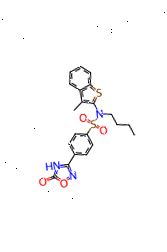 CCCCN(c1sc2ccccc2c1C)S(=O)(=O)c1ccc(-c2noc(=O)[nH]2)cc1